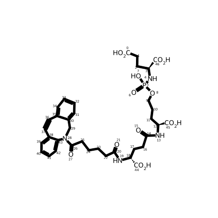 O=C(O)CC[C@H](NP(=O)(O)OCCC[C@H](NC(=O)CC[C@@H](NC(=O)CCCCC(=O)N1Cc2ccccc2C#Cc2ccccc21)C(=O)O)C(=O)O)C(=O)O